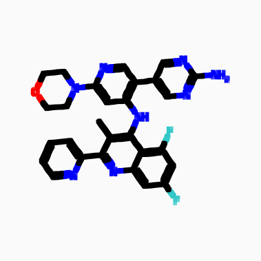 Cc1c(-c2ccccn2)nc2cc(F)cc(F)c2c1Nc1cc(N2CCOCC2)ncc1-c1cnc(N)nc1